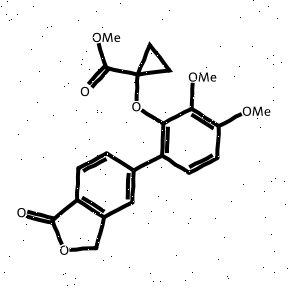 COC(=O)C1(Oc2c(-c3ccc4c(c3)COC4=O)ccc(OC)c2OC)CC1